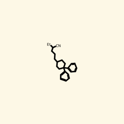 CCC(C#N)CCCC1CCC(c2ccccc2)(c2ccccc2)CC1